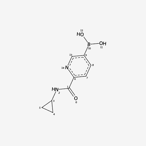 O=C(NC1CC1)c1ccc(B(O)O)cn1